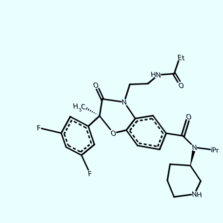 CCC(=O)NCCN1C(=O)[C@](C)(c2cc(F)cc(F)c2)Oc2ccc(C(=O)N(C(C)C)[C@@H]3CCCNC3)cc21